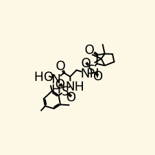 Cc1cc(C)c(S(=O)(=O)NC(CNS(=O)(=O)C2C(=O)C3(C)CCC2C3(C)C)C(=O)NO)c(C)c1